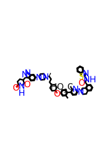 Cc1cc(OC2CCC(CC[C@H](C)N3CCN(c4ccc5c(C6CCC(=O)NC6=O)nn(C)c5c4)CC3)CC2)ccc1-c1ccc(N2CCc3cccc(C(=O)Nc4nc5ccccc5s4)c3C2)nc1C(=O)O